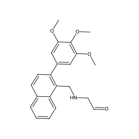 COc1cc(-c2ccc3ccccc3c2CNCC=O)cc(OC)c1OC